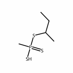 CCC(C)SP(C)(=S)S